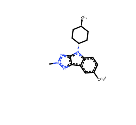 Cn1nc2c3cc(C(=O)O)ccc3n([C@H]3CC[C@H](C(F)(F)F)CC3)c2n1